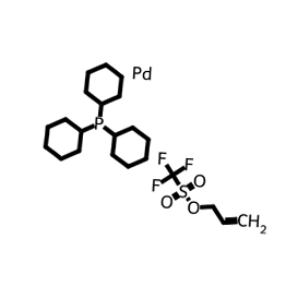 C1CCC(P(C2CCCCC2)C2CCCCC2)CC1.C=CCOS(=O)(=O)C(F)(F)F.[Pd]